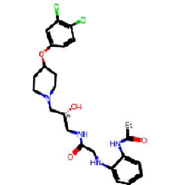 CCC(=O)Nc1ccccc1NCC(=O)NC[C@@H](O)CN1CCC(Oc2ccc(Cl)c(Cl)c2)CC1